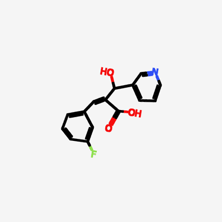 O=C(O)C(=Cc1cccc(F)c1)C(O)c1cccnc1